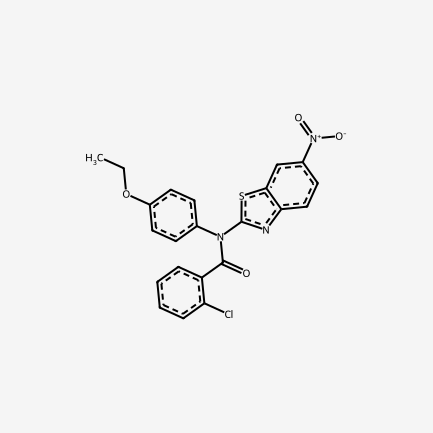 CCOc1ccc(N(C(=O)c2ccccc2Cl)c2nc3ccc([N+](=O)[O-])cc3s2)cc1